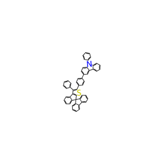 c1ccc(-c2c(-c3ccc(-c4ccc5c(c4)c4ccccc4n5-c4ccccc4)cc3)sc3c2-c2ccccc2C32c3ccccc3-c3ccccc32)cc1